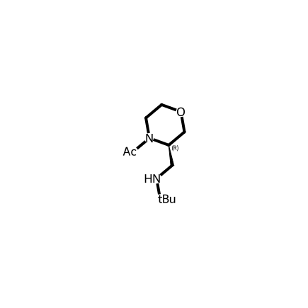 CC(=O)N1CCOC[C@H]1CNC(C)(C)C